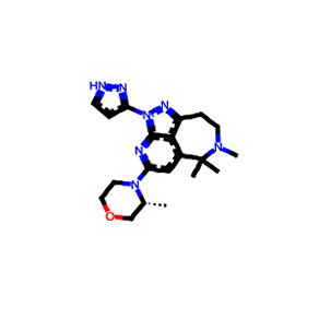 C[C@@H]1COCCN1c1cc2c3c(nn(-c4cc[nH]n4)c3n1)CCN(C)C2(C)C